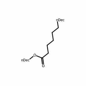 CCCCCCCCCCCCCCCC(=O)OCCCCCCCCCC